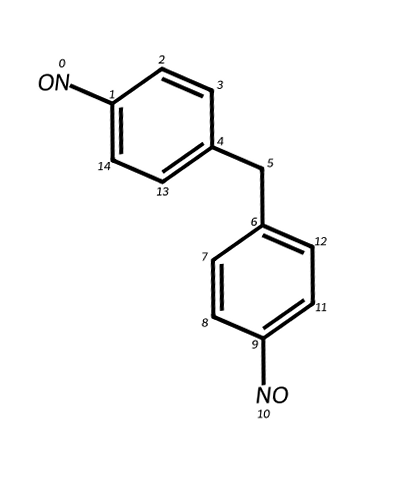 O=Nc1ccc(Cc2ccc(N=O)cc2)cc1